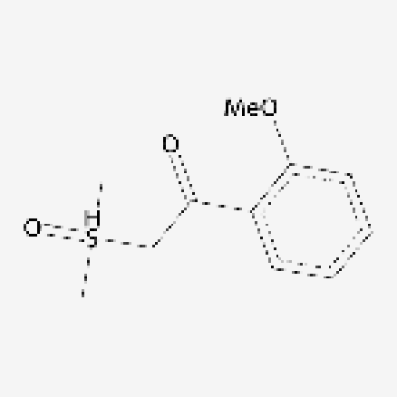 COc1ccccc1C(=O)C[SH](C)(C)=O